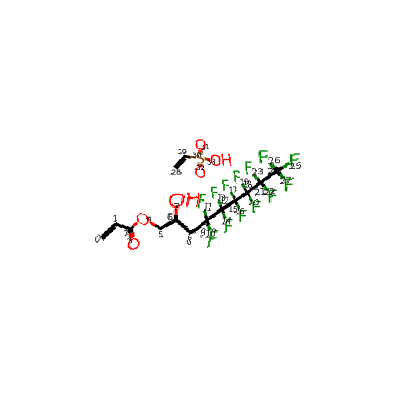 C=CC(=O)OCC(O)CC(F)(F)C(F)(F)C(F)(F)C(F)(F)C(F)(F)C(F)(F)F.C=CS(=O)(=O)O